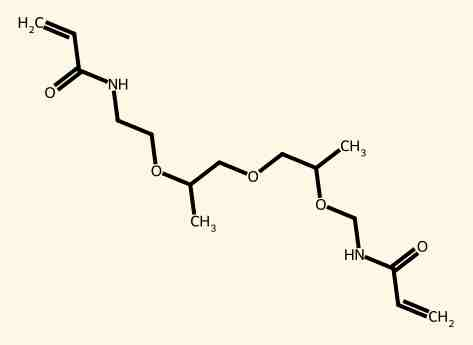 C=CC(=O)NCCOC(C)COCC(C)OCNC(=O)C=C